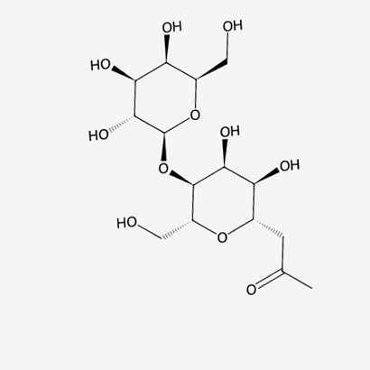 CC(=O)C[C@@H]1O[C@H](CO)[C@@H](O[C@@H]2O[C@H](CO)[C@H](O)[C@H](O)[C@H]2O)[C@@H](O)[C@H]1O